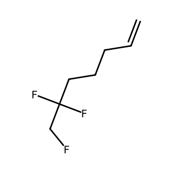 C=CCCCC(F)(F)CF